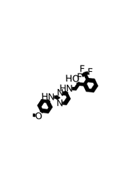 COc1ccc(Nc2nccc(NCC(O)c3ccccc3C(F)(F)F)n2)cc1